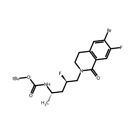 C[C@@H](C[C@@H](F)CN1CCc2cc(Br)c(F)cc2C1=O)NC(=O)OC(C)(C)C